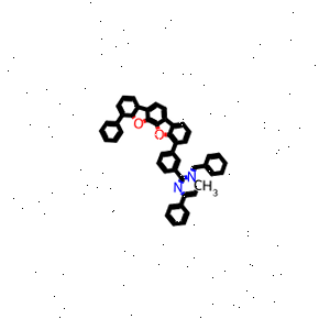 C\C=C(/N=C(\N=C\C1=CCCC=C1)c1cccc(-c2cccc3c2oc2c4c(ccc23)C2C=CC=C(c3ccccc3)C2O4)c1)c1ccccc1